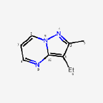 CCc1c(C)nn2cccnc12